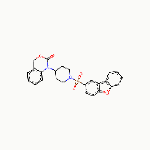 O=C1OCc2ccccc2N1C1CCN(S(=O)(=O)c2ccc3oc4ccccc4c3c2)CC1